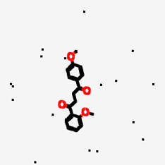 COc1ccc(C(=O)CCC(=O)c2ccccc2OC)cc1